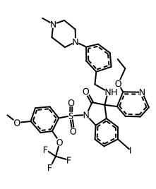 CCOc1ncccc1C1(NCc2cccc(N3CCN(C)CC3)c2)C(=O)N(S(=O)(=O)c2ccc(OC)cc2OC(F)(F)F)c2ccc(I)cc21